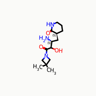 CC1(C)CN(C(=O)C(O)[C@@H](N)C[C@@H]2CCCNC2=O)C1